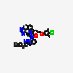 CCOC(=O)c1cc2cccc(N3C[C@@H](C)n4c(c(CCCOc5cc(C)c(Cl)c(C)c5)c5ccc(C)c(-c6c(C)ncnc6C)c54)C3=O)c2[nH]1